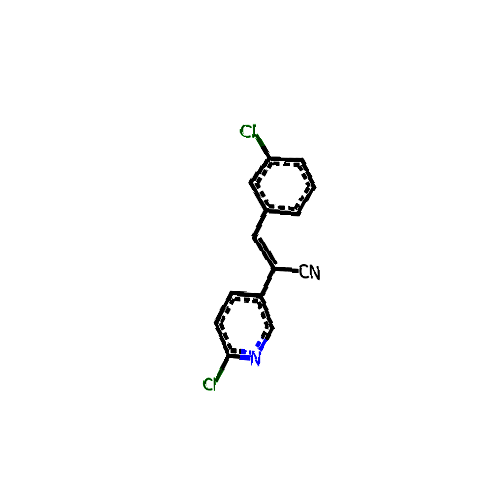 N#C/C(=C\c1cccc(Cl)c1)c1ccc(Cl)nc1